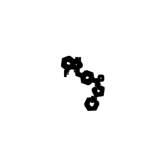 O=C(c1ccc(Cn2cnc3cccc(F)c32)cc1)N1CC[C@H](N2CCCCC2)C1